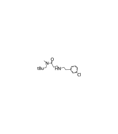 CN(CC(C)(C)C)C(=O)CCNCCc1cccc(Cl)c1